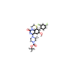 COc1cc2c(N3CCN(C(=O)OC(C)(C)C)C[C@@H]3C)nc(=O)n3c2c(c1-c1ccc(F)cc1F)SCC3